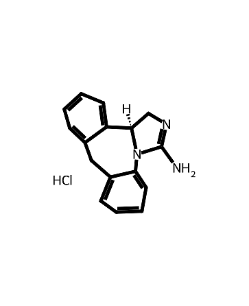 Cl.NC1=NC[C@@H]2c3ccccc3Cc3ccccc3N12